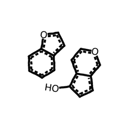 Oc1ccc2coccc1-2.c1ccc2occc2c1